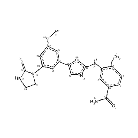 Cc1ccc(C(N)=O)cc1Nc1ncc(-c2cc(OC(C)C)cc(N3CCNC3=O)c2)o1